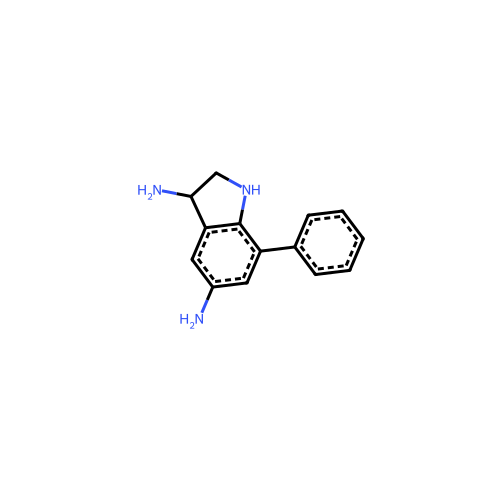 Nc1cc(-c2ccccc2)c2c(c1)C(N)CN2